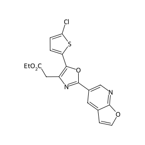 CCOC(=O)Cc1nc(-c2cnc3occc3c2)oc1-c1ccc(Cl)s1